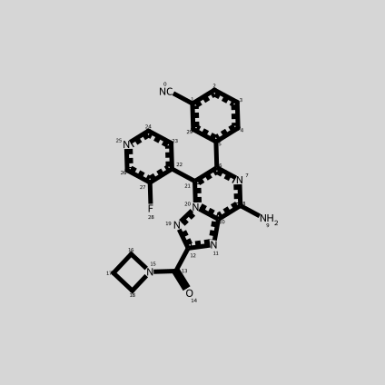 N#Cc1cccc(-c2nc(N)c3nc(C(=O)N4CCC4)nn3c2-c2ccncc2F)c1